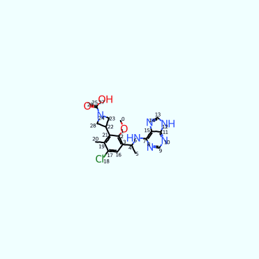 COc1c(C(C)Nc2ncnc3[nH]cnc23)cc(Cl)c(C)c1C1CN(C(=O)O)C1